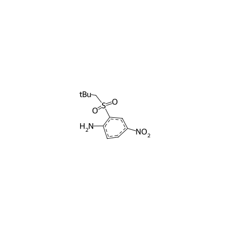 CC(C)(C)CS(=O)(=O)c1cc([N+](=O)[O-])ccc1N